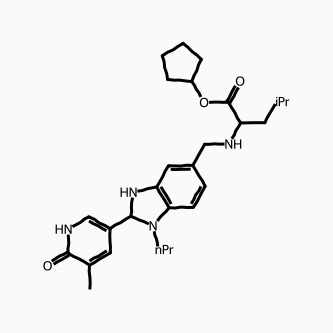 CCCN1c2ccc(CNC(CC(C)C)C(=O)OC3CCCC3)cc2NC1c1c[nH]c(=O)c(C)c1